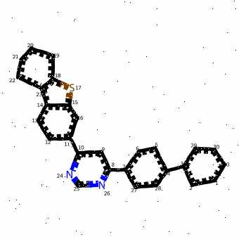 c1ccc(-c2ccc(-c3cc(-c4ccc5c(c4)sc4ccccc45)ncn3)cc2)cc1